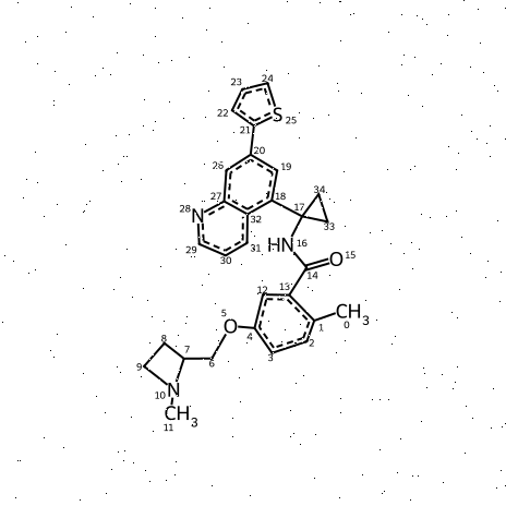 Cc1ccc(OCC2CCN2C)cc1C(=O)NC1(c2cc(-c3cccs3)cc3ncccc23)CC1